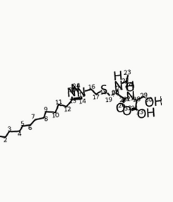 CCCCCCCCCCCCCc1cn(CCSC[C@H](NC(C)=O)C(=O)NC(CO)C(=O)O)nn1